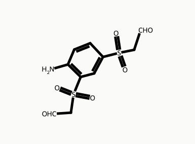 Nc1ccc(S(=O)(=O)CC=O)cc1S(=O)(=O)CC=O